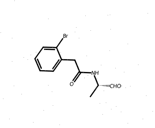 C[C@@H]([C]=O)NC(=O)Cc1ccccc1Br